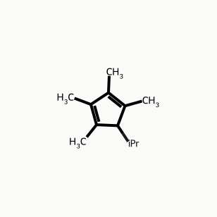 CC1=C(C)C(C(C)C)C(C)=C1C